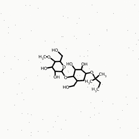 CCC(C)(C)OC1CC(CO)C(OC2OC(CO)C(OC)C(O)C2O)C(O)C1O